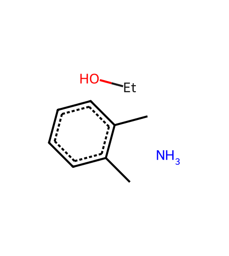 CCO.Cc1ccccc1C.N